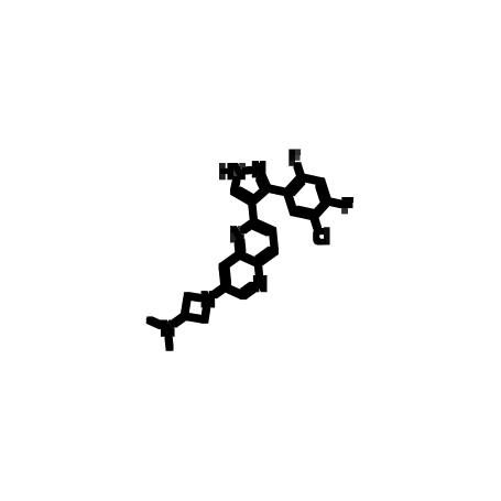 CN(C)C1CN(c2cnc3ccc(-c4c[nH]nc4-c4cc(Cl)c(F)cc4F)nc3c2)C1